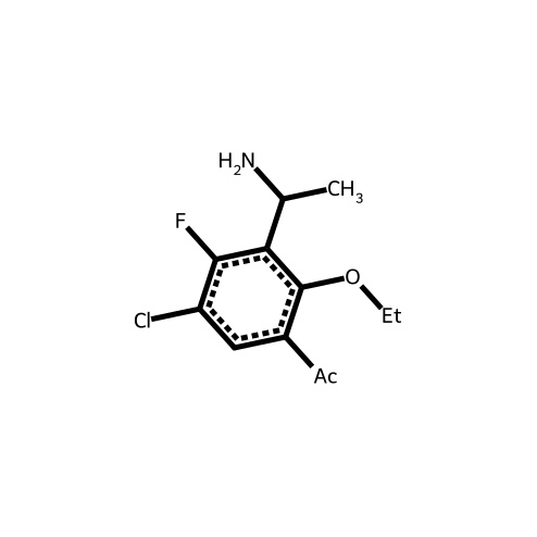 CCOc1c(C(C)=O)cc(Cl)c(F)c1C(C)N